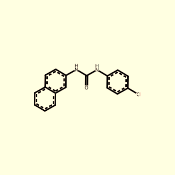 O=C(Nc1ccc(Cl)cc1)Nc1ccc2ccccc2c1